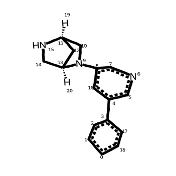 c1ccc(-c2cncc(N3C[C@H]4C[C@@H]3CN4)c2)cc1